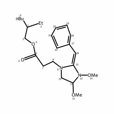 CCCCC(CC)COC(=O)CCN1CC(OC)N(OC)C1=Cc1ccccc1